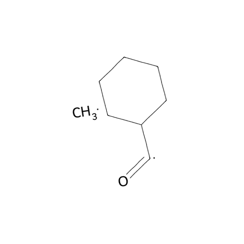 O=[C]C1CCCCC1.[CH3]